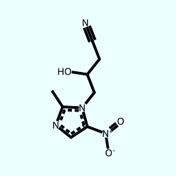 Cc1ncc([N+](=O)[O-])n1CC(O)CC#N